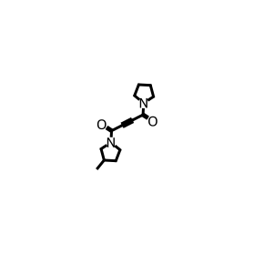 CC1CCN(C(=O)C#CC(=O)N2CCCC2)C1